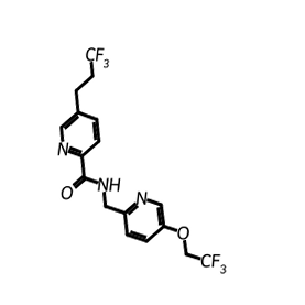 O=C(NCc1ccc(OCC(F)(F)F)cn1)c1ccc(CCC(F)(F)F)cn1